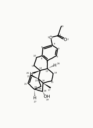 CC(=O)Oc1ccc2c(c1)CC[C@@H]1[C@@H]2CC[C@]2(C)[C@H](O)[C@H]3C=C[C@@]12C3